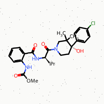 COC(=O)Nc1ccccc1C(=O)N[C@@H](C(=O)N1CC[C@](O)(c2ccc(Cl)cc2)C(C)(C)C1)C(C)C